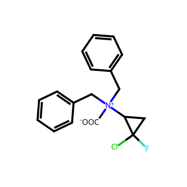 O=C([O-])[N+](Cc1ccccc1)(Cc1ccccc1)C1CC1(F)Cl